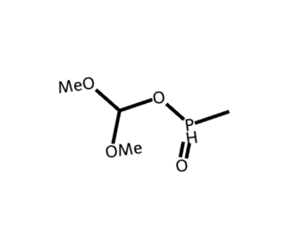 COC(OC)O[PH](C)=O